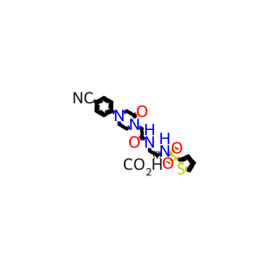 N#Cc1ccc(N2CCN(CC(=O)NC[C@H](NS(=O)(=O)c3cccs3)C(=O)O)C(=O)C2)cc1